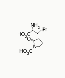 CC(C)CC(N)C(=O)O.O=C(O)N1CCCC1=O